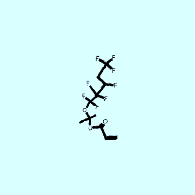 C=CC(=O)OC(C)(C)OC(F)(F)C(F)(F)C(F)CC(F)(F)F